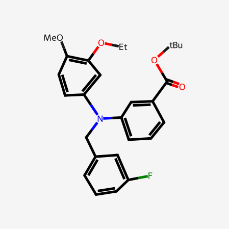 CCOc1cc(N(Cc2cccc(F)c2)c2cccc(C(=O)OC(C)(C)C)c2)ccc1OC